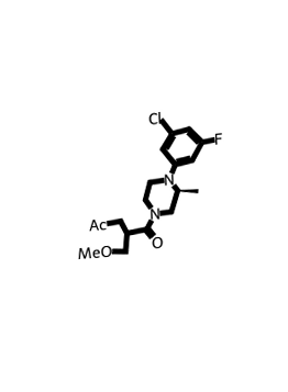 COCC(CC(C)=O)C(=O)N1CCN(c2cc(F)cc(Cl)c2)[C@@H](C)C1